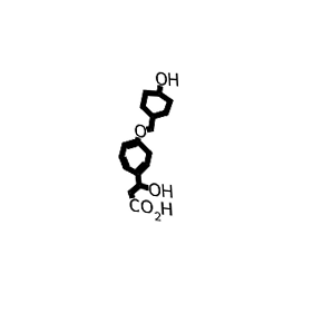 O=C(O)CC(O)C1=CCC(OCC2CCC(O)CC2)=CC=C1